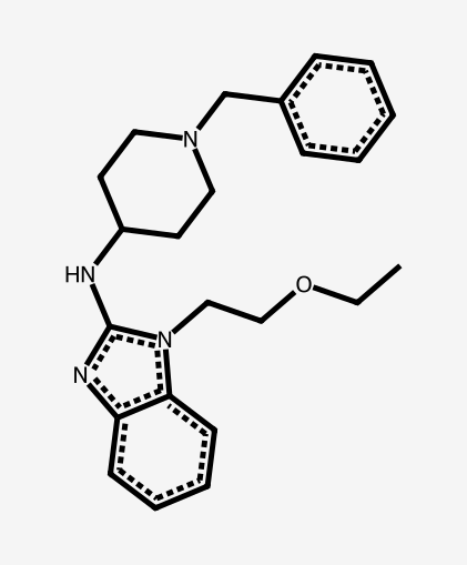 CCOCCn1c(NC2CCN(Cc3ccccc3)CC2)nc2ccccc21